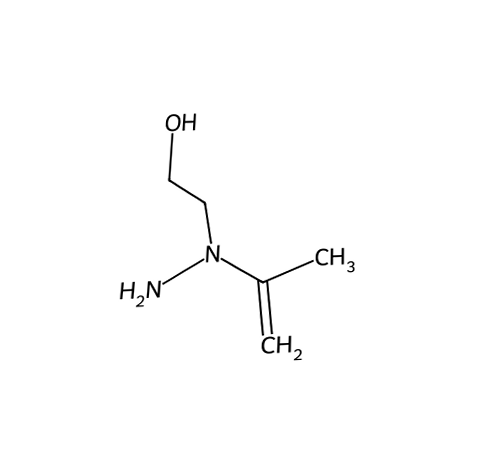 C=C(C)N(N)CCO